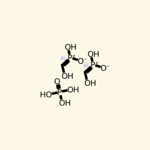 O=P(O)(O)O.[O-]/[P+](O)=C\O.[O-]/[P+](O)=C\O